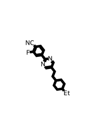 CCC1CCC(CCc2cnc(-c3ccc(C#N)c(F)c3)nc2)CC1